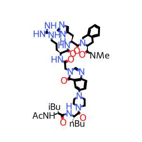 CCCC[C@H](NC(=O)[C@@H](NC(C)=O)[C@@H](C)CC)C(=O)N1CCN(c2ccc3ncn(CC(=O)N[C@@H](CCCNC(=N)N)C(=O)N[C@@H](Cc4cnc[nH]4)C(=O)N4Cc5ccccc5C[C@H]4C(=O)NC)c(=O)c3c2)CC1